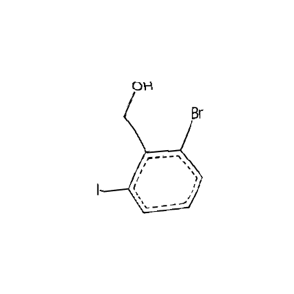 OCc1c(Br)cccc1I